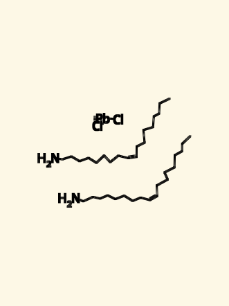 CCCCCCCC/C=C\CCCCCCCCN.CCCCCCCC/C=C\CCCCCCCCN.[Cl][Pb][Cl]